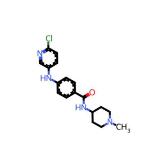 CN1CCC(NC(=O)c2ccc(Nc3ccc(Cl)nc3)cc2)CC1